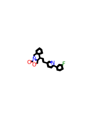 O=C1OCC2C(/C=C/c3ccc(-c4cccc(F)c4)nc3)c3ccccc3CN12